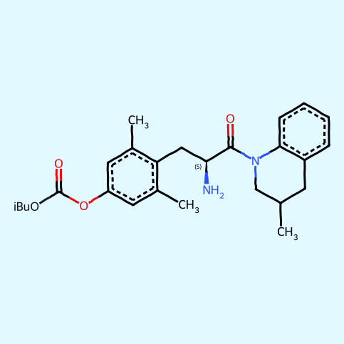 Cc1cc(OC(=O)OCC(C)C)cc(C)c1C[C@H](N)C(=O)N1CC(C)Cc2ccccc21